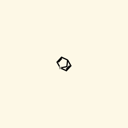 C1=CN2C=CC1C2